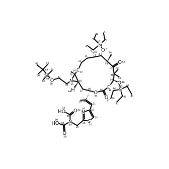 CC[Si](CC)(CC)O[C@H]1[C@@H](C)CCC[C@]2(C)[C@H](C[C@@H](/C(C)=C/c3csc(CN(C(=O)O)C(=O)O)n3)OC(=O)C[C@H](O[Si](CC)(CC)CC)C(C)(C)C(=O)[C@@H]1C)N2CCO[Si](C)(C)C(C)(C)C